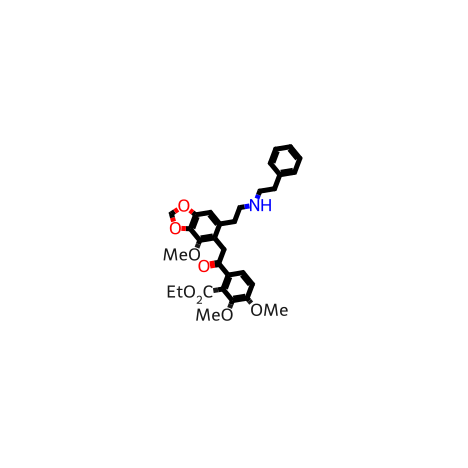 CCOC(=O)c1c(C(=O)Cc2c(CCNCCc3ccccc3)cc3c(c2OC)OCO3)ccc(OC)c1OC